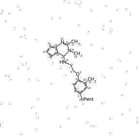 CCCCCc1ccc(OCCNC2c3ccsc3N=C(C)N2C)c(C)c1